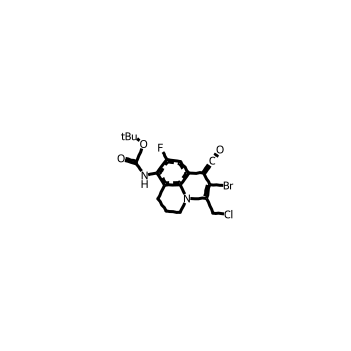 CC(C)(C)OC(=O)Nc1c(F)cc2c3c1CCCN3C(CCl)=C(Br)C2=C=O